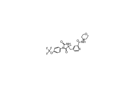 CC1(Cc2ccnc(C(=O)NN3CCOCC3)c2)NC(=O)N(c2ccc(OC(F)(F)F)cc2)C1=O